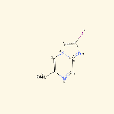 O=Cc1cn2cc(I)nc2cn1